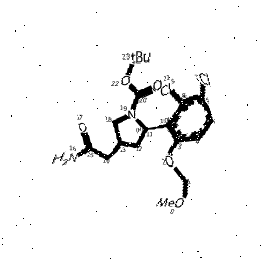 COCOc1ccc(Cl)c(Cl)c1[C@H]1CC(CC(N)=O)CN1C(=O)OC(C)(C)C